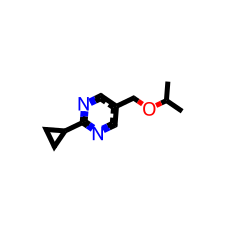 CC(C)OCc1cnc(C2CC2)nc1